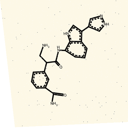 NCC(C(=O)Nc1cccc2c(-c3cn[nH]c3)c[nH]c12)c1cccc(C(N)=O)c1